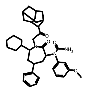 COc1cccc(N(C(N)=O)C2CC(c3ccccc3)CC(C3CCCCC3)N(CC(=O)C3C4CC5CC(C4)CC3C5)C2=O)c1